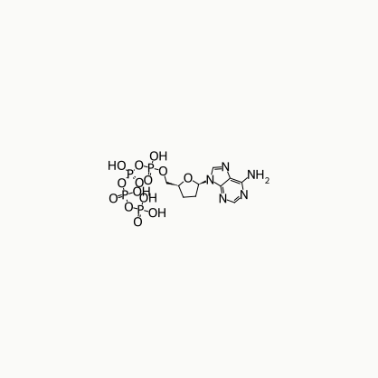 Nc1ncnc2c1ncn2[C@H]1CC[C@@H](COP(=O)(O)OP(=O)(O)OP(=O)(O)OP(=O)(O)O)O1